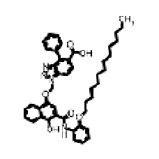 CCCCCCCCCCCCCCOc1ccccc1NC(=O)c1cc(OCn2nnc3c(-c4ccccc4)c(C(=O)O)ccc32)c2ccccc2c1O